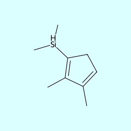 CC1=CCC([SiH](C)C)=C1C